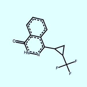 O=c1[nH]nc(C2CC2C(F)(F)F)c2ccccc12